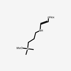 CCCCCCC=CNCCC[Si](C)(C)OC